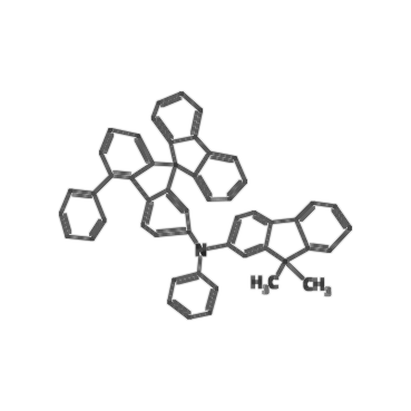 CC1(C)c2ccccc2-c2ccc(N(c3ccccc3)c3ccc4c(c3)C3(c5ccccc5-c5ccccc53)c3cccc(-c5ccccc5)c3-4)cc21